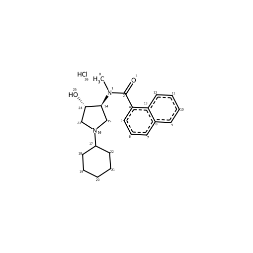 CN(C(=O)c1cccc2ccccc12)[C@H]1CN(C2CCCCC2)C[C@@H]1O.Cl